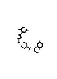 COc1cc(-c2cc(C(=O)N3CCC(C(=O)N[C@H]4CCOc5ccc(C#N)cc54)CC3)n[nH]2)c(Cl)cn1